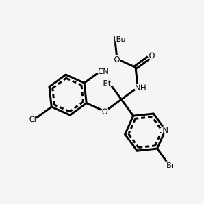 CCC(NC(=O)OC(C)(C)C)(Oc1cc(Cl)ccc1C#N)c1ccc(Br)nc1